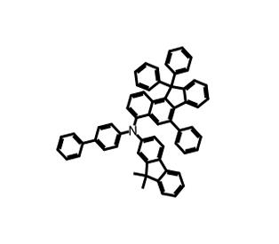 CC1(C)c2ccccc2-c2ccc(N(c3ccc(-c4ccccc4)cc3)c3cccc4c5c(c(-c6ccccc6)cc34)-c3ccccc3C5(c3ccccc3)c3ccccc3)cc21